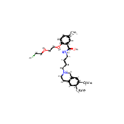 COc1cc2c(cc1OC)CN(CCCCNC(=O)c1cc(C)ccc1OCCOCCF)CC2